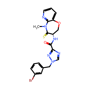 CN1C(=S)[C@@H](NC(=O)c2ncn(Cc3cccc(Br)c3)n2)COc2cccnc21